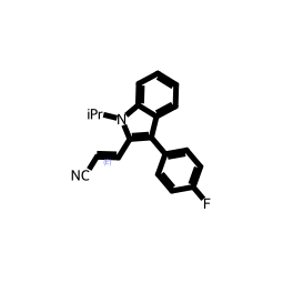 CC(C)n1c(/C=C/C#N)c(-c2ccc(F)cc2)c2ccccc21